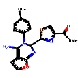 CNC(=O)c1csc(C2N=c3occc3=C(N)N2c2ccc(OC)cc2)n1